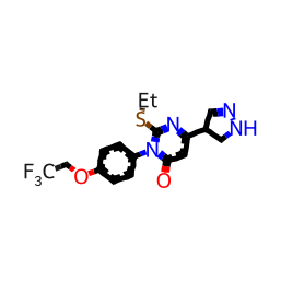 CCSc1nc(C2C=NNC2)cc(=O)n1-c1ccc(OCC(F)(F)F)cc1